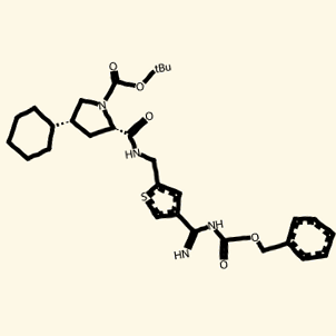 CC(C)(C)OC(=O)N1C[C@@H](C2CCCCC2)C[C@H]1C(=O)NCc1cc(C(=N)NC(=O)OCc2ccccc2)cs1